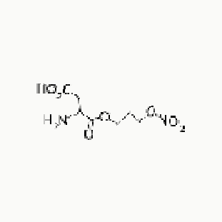 NC(CC(=O)O)C(=O)OCCCO[N+](=O)[O-]